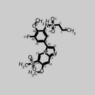 CCCS(=O)(=O)Nc1cc(-c2cnc3cc(OC)c(S(C)(=O)=O)cn23)cc(F)c1OC